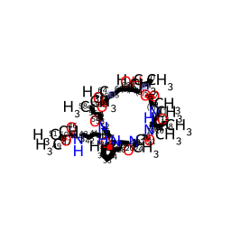 C/C=C(\C)[C@H]1OC(=O)[C@H](C)N(C)C(=O)[C@H]([C@H](C)CC)NC(=O)CN(C)C(=O)[C@@H](Cc2ccccc2)N(C)C(=O)[C@H](CCCCNC(=O)OC(C)(C)C)NC(=O)[C@@H](CC(C)C)OC(=O)/C(C)=C/C[C@H](O)[C@@H]1C